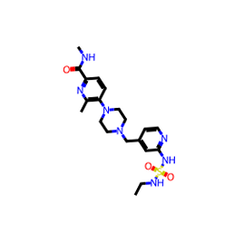 CCNS(=O)(=O)Nc1cc(CN2CCN(c3ccc(C(=O)NC)nc3C)CC2)ccn1